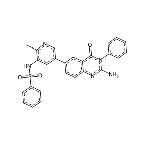 Cc1ncc(-c2ccc3nc(N)n(-c4ccccc4)c(=O)c3c2)cc1NS(=O)(=O)c1ccccc1